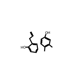 C=CCc1ccccc1O.Cc1ccc(O)cc1C